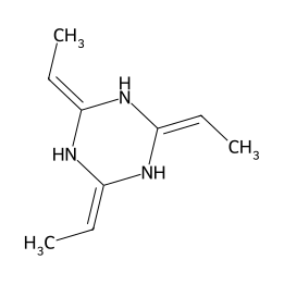 CC=C1NC(=CC)NC(=CC)N1